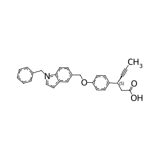 CC#C[C@@H](CC(=O)O)c1ccc(OCc2ccc3c(ccn3Cc3ccccc3)c2)cc1